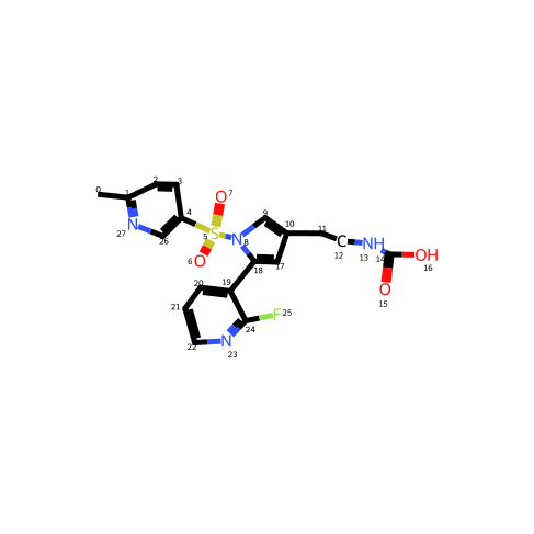 Cc1ccc(S(=O)(=O)n2cc(CCNC(=O)O)cc2-c2cccnc2F)cn1